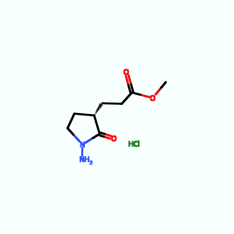 COC(=O)CC[C@H]1CCN(N)C1=O.Cl